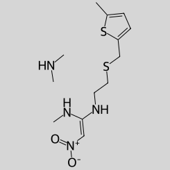 CNC.CNC(=C[N+](=O)[O-])NCCSCc1ccc(C)s1